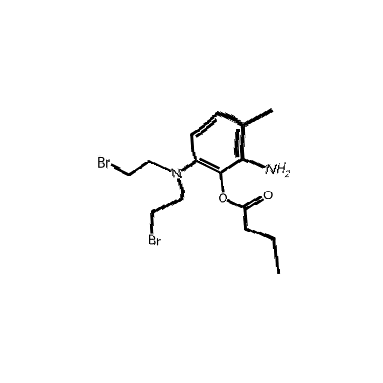 CCCC(=O)Oc1c(N(CCBr)CCBr)ccc(C)c1N